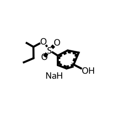 CCC(C)OS(=O)(=O)c1ccc(O)cc1.[NaH]